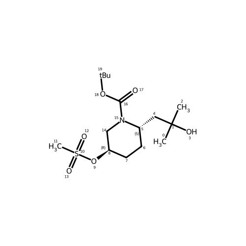 CC(C)(O)C[C@@H]1CC[C@@H](OS(C)(=O)=O)CN1C(=O)OC(C)(C)C